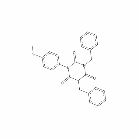 CSc1ccc(N2C(=O)C(Cc3ccccc3)C(=O)N(Cc3ccccc3)C2=O)cc1